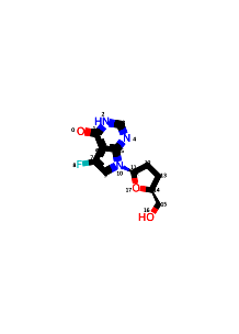 O=c1[nH]cnc2c1c(F)cn2[C@H]1CC[C@@H](CO)O1